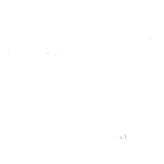 CCCCCC/C=C/C1=C(C/C=C\CCCC(=O)O)C(=O)CC1